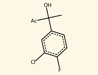 CC(=O)C(C)(O)c1ccc(F)c(Cl)c1